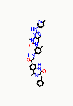 CC1=N[C@H](Cc2ccccc2)C(=O)Nc2cc(C(=O)CNc3ccc(C)c(N4Cc5cnc(Nc6ccc(C)nc6)nc5N(C)C4=O)c3)ccc21